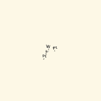 [Ir].[Pt].[Pt].[W]